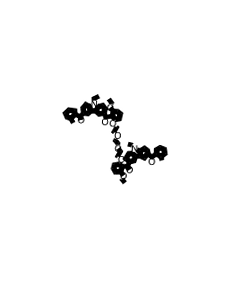 CCOc1cccc(OCCOCCOCCOc2cccc(OCC)c2C(=O)c2ccc3c(c2)c2cc(C(=O)c4ccccc4C)ccc2n3CC)c1C(=O)c1ccc2c(c1)c1cc(C(=O)c3ccccc3C)ccc1n2CC